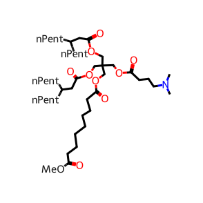 CCCCCC(CCCCC)CC(=O)OCC(COC(=O)CCCCCCCC(=O)OC)(COC(=O)CCCN(C)C)COC(=O)CC(CCCCC)CCCCC